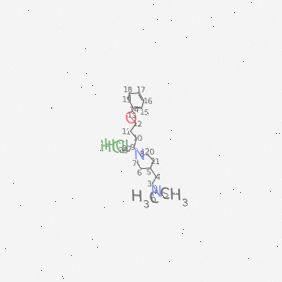 CN(C)CCC1CCN(CCCCOc2ccccc2)CC1.Cl.Cl